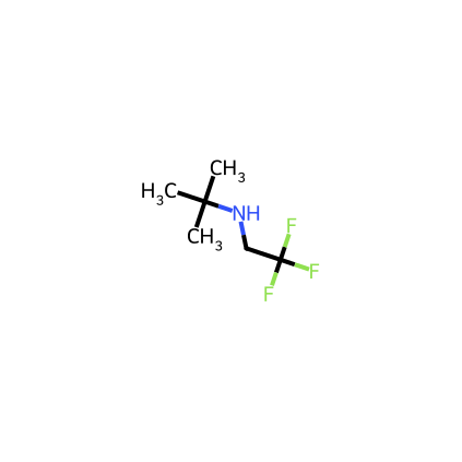 CC(C)(C)NCC(F)(F)F